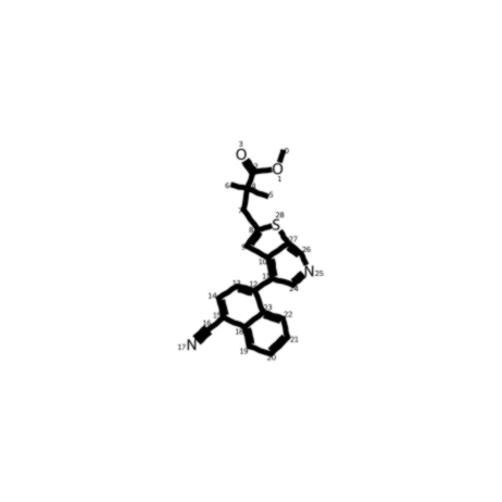 COC(=O)C(C)(C)Cc1cc2c(-c3ccc(C#N)c4ccccc34)cncc2s1